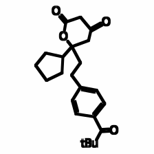 CC(C)(C)C(=O)c1ccc(CCC2(C3CCCC3)CC(=O)CC(=O)O2)cc1